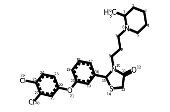 CC1CCCCN1CCCN1C(=O)CSC1c1cccc(Oc2ccc(Cl)c(Cl)c2)c1